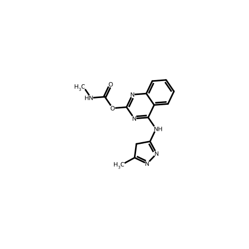 CNC(=O)Oc1nc(NC2=NN=C(C)C2)c2ccccc2n1